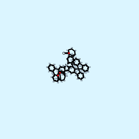 O=C1c2cc3c(cc2C2CCC1CC2)c1c2c(cc4c5c6c(c(-c7ccccc7-c7ccccc7)cc5n3c41)C1CC3CC(C1)CC6C3)-c1ccccc1C21c2ccccc2-c2ccccc21